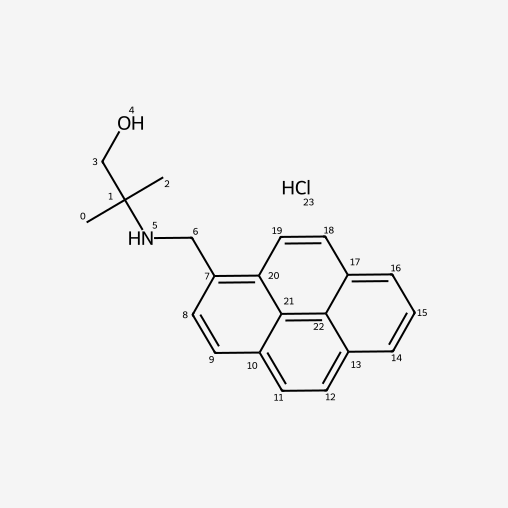 CC(C)(CO)NCc1ccc2ccc3cccc4ccc1c2c34.Cl